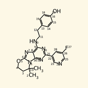 CC1(C)CCOc2nc3c(NCCc4ccc(O)cc4)nc(-c4cncc(F)c4)nc3n21